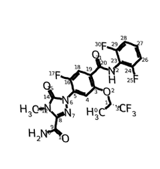 C[C@H](Oc1cc(-n2nc(C(N)=O)n(C)c2=O)c(F)cc1C(=O)Nc1c(F)cccc1F)C(F)(F)F